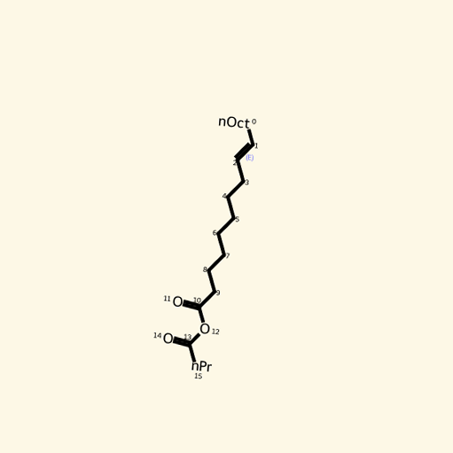 CCCCCCCC/C=C/CCCCCCCC(=O)OC(=O)CCC